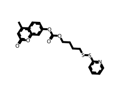 Cc1cc(=O)oc2cc(OC(=O)OCCCCSSc3ccccn3)ccc12